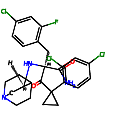 NC(=O)[C@](Cc1ccc(Cl)cc1F)(N[C@@H]1CN2CCC1CC2)C(=O)C1(c2ccc(Cl)cc2Cl)CC1